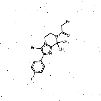 CC1(C)c2nc(-c3ccc(F)cc3)c(Br)n2CCN1C(=O)CBr